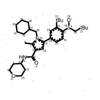 Cc1c(C(=O)NC2CCOCC2)cc(-c2ccc([S+]([O-])CC(C)(C)C)c(C(C)(C)C)c2)n1CC1CCCCC1